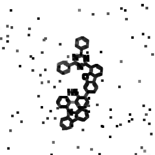 Sc1c(-c2ccc3c(c2)oc2c(-c4nc(-c5ccccc5)nc(-c5ccccc5)n4)cccc23)cccc1-c1ccccc1-n1c2ccccc2c2ccccc21